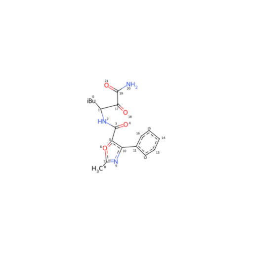 CCC(C)C(NC(=O)c1oc(C)nc1-c1ccccc1)C(=O)C(N)=O